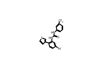 CC(=O)c1ccc(-c2ccsc2)c(NC(=O)Nc2cccc(C(F)(F)F)c2)c1